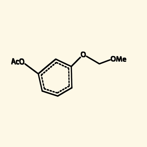 COCOc1cccc(OC(C)=O)c1